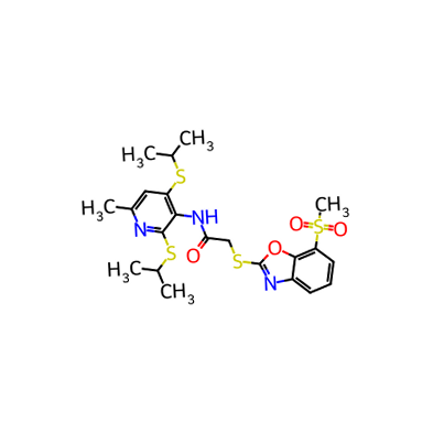 Cc1cc(SC(C)C)c(NC(=O)CSc2nc3cccc(S(C)(=O)=O)c3o2)c(SC(C)C)n1